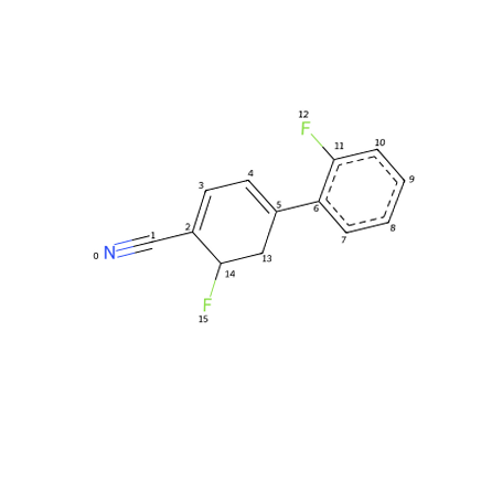 N#CC1=CC=C(c2ccccc2F)CC1F